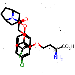 N[C@@H](CCOc1cc(Cl)ccc1OCC(=O)N1C2CCC1CC(Oc1ccc(F)cc1)C2)C(=O)O